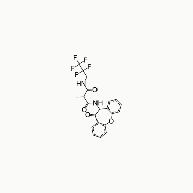 CC(C(=O)NCC(F)(F)C(F)(F)F)C(=O)NC1C(=O)c2ccccc2Oc2ccccc21